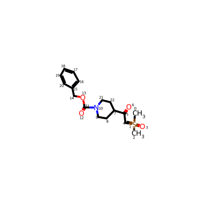 CS(C)(=O)=CC(=O)C1CCN(C(=O)OCc2ccccc2)CC1